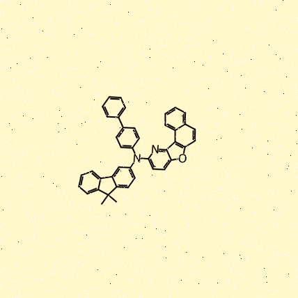 CC1(C)c2ccccc2-c2cc(N(c3ccc(-c4ccccc4)cc3)c3ccc4oc5ccc6ccccc6c5c4n3)ccc21